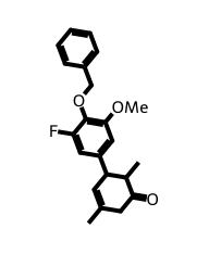 COc1cc(C2C=C(C)CC(=O)C2C)cc(F)c1OCc1ccccc1